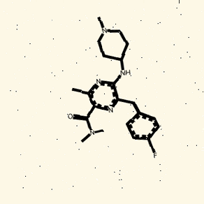 Cc1nc(NC2CCN(C)CC2)c(Cc2ccc(F)cc2)nc1C(=O)N(C)C